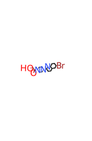 O=C(CO)N1CCN(c2ccc3cc(Br)ccc3n2)CC1